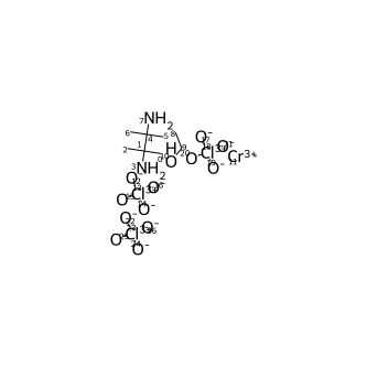 CC(C)(N)C(C)(C)N.CCO.[Cr+3].[O-][Cl+3]([O-])([O-])[O-].[O-][Cl+3]([O-])([O-])[O-].[O-][Cl+3]([O-])([O-])[O-]